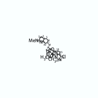 CNc1c#cc2ccc(CC[C@H]3O[C@@H](n4ccc5c(Cl)ncnc54)[C@@H]4OC(C)(C)O[C@@H]43)cc2n1